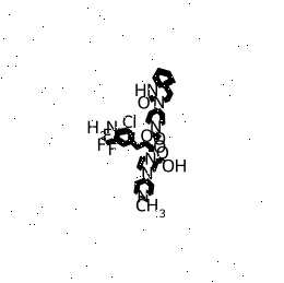 CN1CCC(N2CCN(C(=O)C(Cc3cc(Cl)c(N)c(C(F)(F)F)c3)OC(=O)N3CCC(N4CCc5ccccc5NC4=O)CC3)C(C(=O)O)C2)CC1